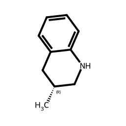 C[C@H]1CNc2ccccc2C1